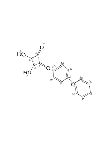 O=c1c(O)c(O)c1=O.c1ccc(-c2ccccc2)cc1